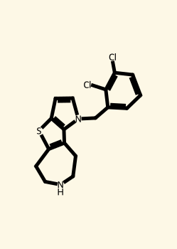 Clc1cccc(Cn2ccc3sc4c(c32)CCNCC4)c1Cl